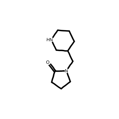 O=C1CCCN1CC1CCCNC1